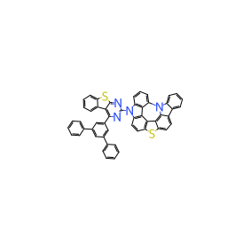 c1ccc(-c2cc(-c3ccccc3)cc(-c3nc(-n4c5ccc6sc7ccc8c9ccccc9n9c%10cccc4c%10c5c6c7c89)nc4sc5ccccc5c34)c2)cc1